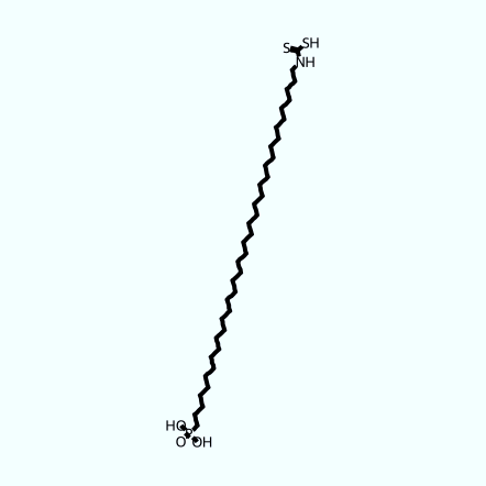 O=P(O)(O)CCCCCCCCCCCCCCCCCCCCCCCCCCCCCCCCCCCCCCNC(=S)S